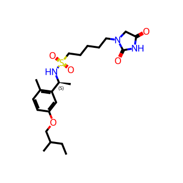 CCC(C)COc1ccc(C)c([C@H](C)NS(=O)(=O)CCCCCN2CC(=O)NC2=O)c1